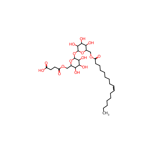 CCCCCC/C=C\CCCCCCCC(=O)OCC1OC(OC2OC(COC(=O)CCC(=O)O)C(O)C(O)C2O)C(O)C(O)C1O